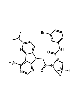 CN(C)c1ccc2c(n1)c1c(N)ncnc1n2CC(=O)N1C2C[C@@H]2C[C@H]1C(=O)Nc1cccc(Br)n1